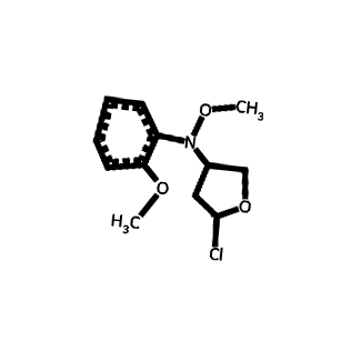 COc1ccccc1N(OC)C1CO[C](Cl)C1